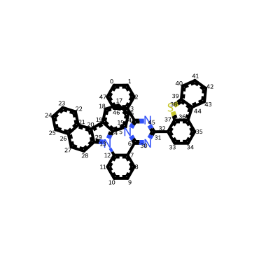 c1ccc(-c2nc(-c3ccccc3-n3c4ccccc4c4c5ccccc5ccc43)nc(-c3cccc4c3sc3ccccc34)n2)cc1